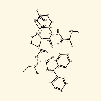 CC[C@H](C)[C@H](NC(=O)[C@@H]1CC[C@H](c2ccc(C)o2)N1C(=O)[C@@H](NC(=O)[C@H](C)NC)C1CCCCC1)C(=O)NC(c1ccccc1)c1ccccc1